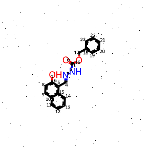 O=C(NN=Cc1c(O)ccc2ccccc12)OCc1ccccc1